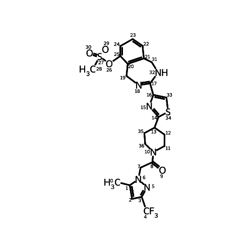 Cc1cc(C(F)(F)F)nn1CC(=O)N1CCC(c2nc(C3=NCc4c(cccc4OS(C)(=O)=O)CN3)cs2)CC1